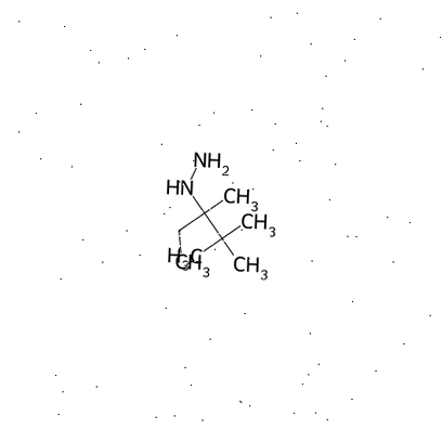 CCC(C)(NN)C(C)(C)C